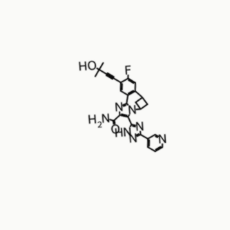 CC(C)(O)C#Cc1cc2c(cc1F)C1CC(C1)n1c-2nc(C(N)=O)c1-c1nc(-c2cccnc2)n[nH]1